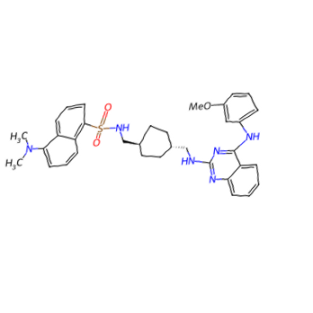 COc1cccc(Nc2nc(NC[C@H]3CC[C@H](CNS(=O)(=O)c4cccc5c(N(C)C)cccc45)CC3)nc3ccccc23)c1